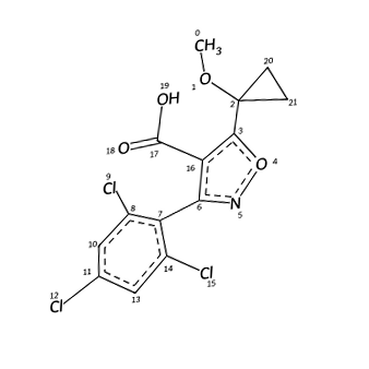 COC1(c2onc(-c3c(Cl)cc(Cl)cc3Cl)c2C(=O)O)CC1